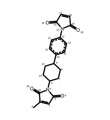 CC1=CC(=O)N(C2CCC(c3ccc(N4C(=O)C=CC4=O)cc3)CC2)C1=O